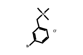 C[N+](C)(C)Cc1cccc(Br)c1.[Cl-]